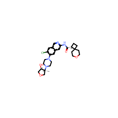 C[C@]1(N2CCN(c3cc4cc(NC(=O)[C@@H]5CCC56CCOCC6)ncc4cc3Cl)CC2)COC[C@H]1O